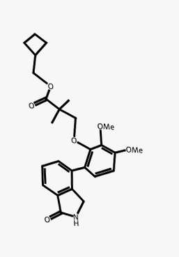 COc1ccc(-c2cccc3c2CNC3=O)c(OCC(C)(C)C(=O)OCC2CCC2)c1OC